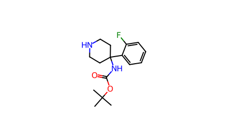 CC(C)(C)OC(=O)NC1(c2ccccc2F)CCNCC1